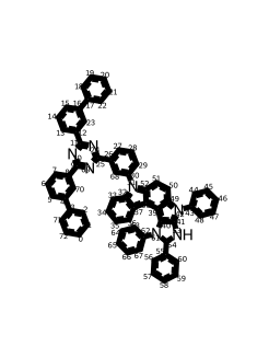 c1ccc(-c2cccc(-c3nc(-c4cccc(-c5ccccc5)c4)nc(-c4cccc(-n5c6ccccc6c6c7c8c(n(-c9ccccc9)c7ccc65)NC(c5ccccc5)N8c5ccccc5)c4)n3)c2)cc1